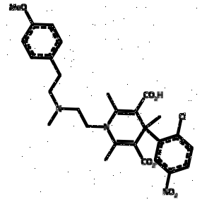 COc1ccc(CCN(C)CCN2C(C)=C(C(=O)O)C(C)(c3cc([N+](=O)[O-])ccc3Cl)C(C(=O)O)=C2C)cc1